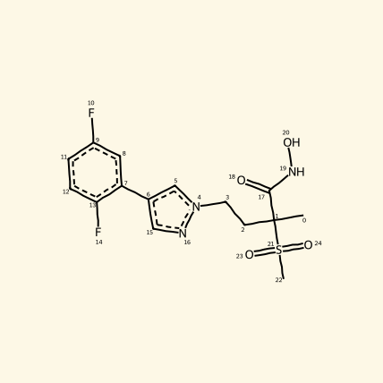 CC(CCn1cc(-c2cc(F)ccc2F)cn1)(C(=O)NO)S(C)(=O)=O